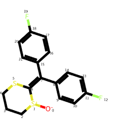 [O-][S+]1CCCSC1=C(c1ccc(F)cc1)c1ccc(F)cc1